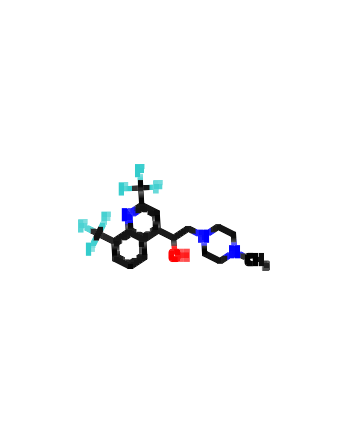 CN1CCN(CC(O)c2cc(C(F)(F)F)nc3c(C(F)(F)F)cccc23)CC1